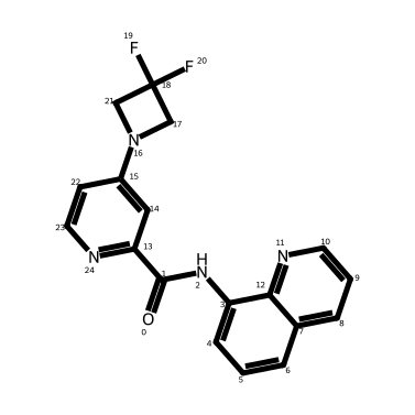 O=C(Nc1cccc2cccnc12)c1cc(N2CC(F)(F)C2)ccn1